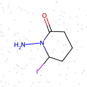 NN1C(=O)CCCC1I